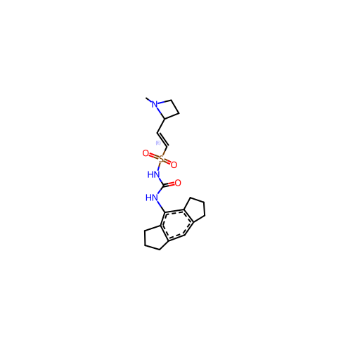 CN1CCC1/C=C/S(=O)(=O)NC(=O)Nc1c2c(cc3c1CCC3)CCC2